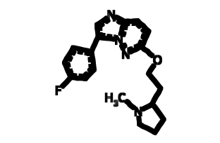 CN1CCCC1CCOc1ccc2ncc(-c3ccc(F)cc3)n2n1